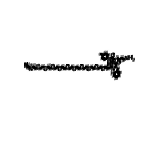 [CH2]c1ccc(NC(=O)[C@H](CCCCN)NC(=O)[C@H](Cc2ccccc2)NC(=O)CCOCCOCCOCCOCCOCCOCCOCCOCCOCCOCCN=[N+]=[N-])cc1